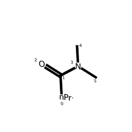 CC[CH]C(=O)N(C)C